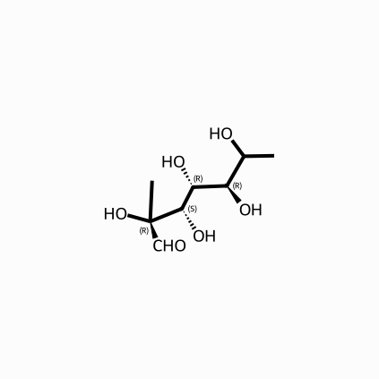 CC(O)[C@@H](O)[C@@H](O)[C@H](O)[C@@](C)(O)C=O